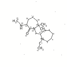 CCN1CCCCCC1CN1C(=O)C(NC)CCCC1(C)C